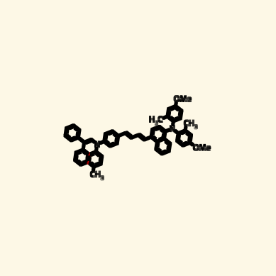 COc1ccc(N(c2ccc(OC)cc2C)c2ccc(/C=C/C=C/c3ccc(N(C=C(c4ccccc4)c4ccccc4)c4ccc(C)cc4)cc3)c3ccccc23)c(C)c1